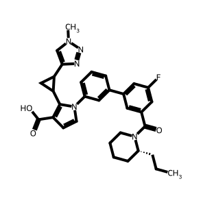 CCC[C@@H]1CCCCN1C(=O)c1cc(F)cc(-c2cccc(-n3ccc(C(=O)O)c3C3CC3c3cn(C)nn3)c2)c1